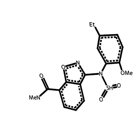 CCc1ccc(OC)c(N(c2noc3c(C(=O)NC)cccc23)[SH](=O)=O)c1